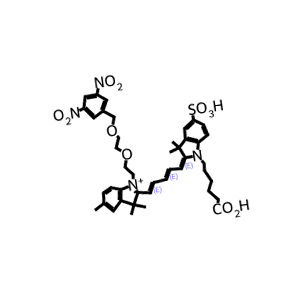 Cc1ccc2c(c1)C(C)(C)C(/C=C/C=C/C=C1/N(CCCCCC(=O)O)c3ccc(S(=O)(=O)O)cc3C1(C)C)=[N+]2CCOCCOCc1cc([N+](=O)[O-])cc([N+](=O)[O-])c1